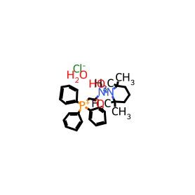 CC1(C)CCCC(C)(C)N1N(O)C(=O)C[P+](c1ccccc1)(c1ccccc1)c1ccccc1.O.[Cl-]